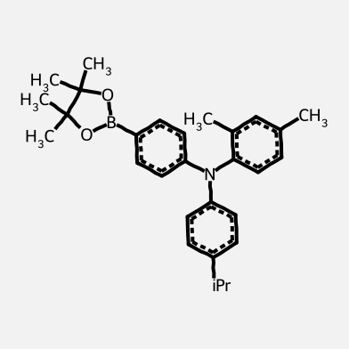 Cc1ccc(N(c2ccc(B3OC(C)(C)C(C)(C)O3)cc2)c2ccc(C(C)C)cc2)c(C)c1